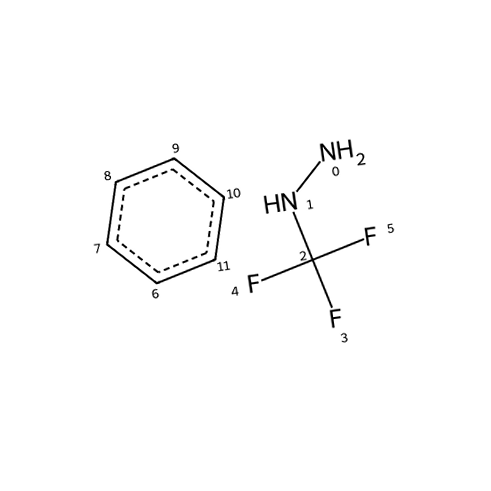 NNC(F)(F)F.c1ccccc1